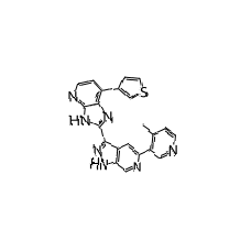 Cc1ccncc1-c1cc2c(-c3nc4c(-c5ccsc5)ccnc4[nH]3)n[nH]c2cn1